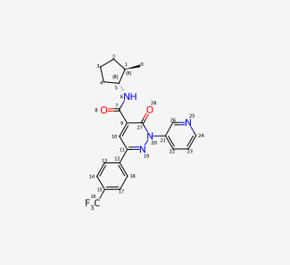 C[C@@H]1CCC[C@H]1NC(=O)c1cc(-c2ccc(C(F)(F)F)cc2)nn(-c2cccnc2)c1=O